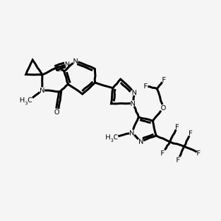 CN(C(=O)c1cc(-c2cnn(-c3c(OC(F)F)c(C(F)(F)C(F)(F)F)nn3C)c2)cnc1Cl)C1(C#N)CC1